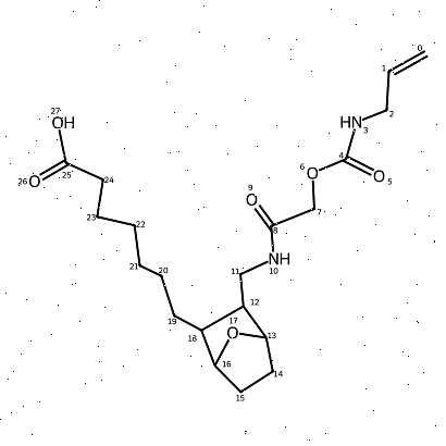 C=CCNC(=O)OCC(=O)NCC1C2CCC(O2)C1CCCCCCC(=O)O